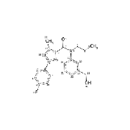 CCCN(C(=O)c1cc(-c2ccc(F)cc2)oc1C)c1cccc(CO)c1